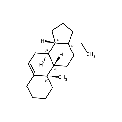 CC[C@@]12CCC[C@H]1[C@@H]1CC=C3CCCC[C@]3(C)[C@H]1CC2